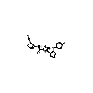 N#CN1CC2CC(NC(=O)c3ncc(-c4ccncc4Nc4ccc(F)cc4)s3)C1C2